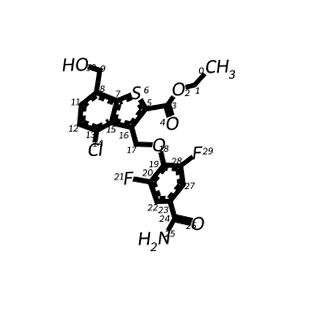 CCOC(=O)c1sc2c(CO)ccc(Cl)c2c1COc1c(F)cc(C(N)=O)cc1F